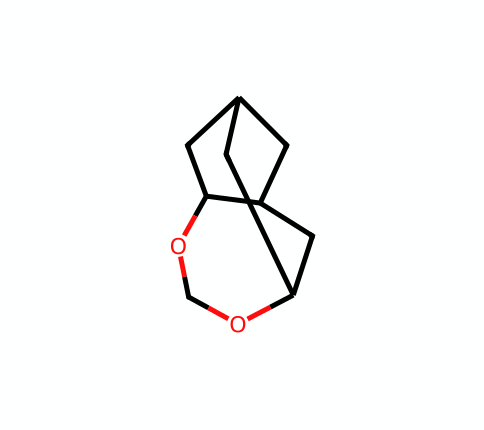 C1OC2CC3CC(C2)C(C3)O1